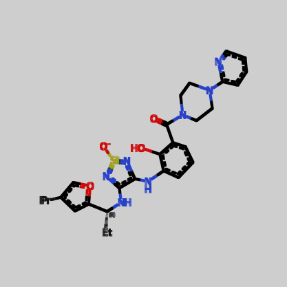 CC[C@@H](Nc1n[s+]([O-])nc1Nc1cccc(C(=O)N2CCN(c3ccccn3)CC2)c1O)c1cc(C(C)C)co1